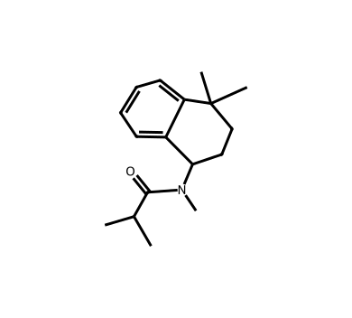 CC(C)C(=O)N(C)C1CCC(C)(C)c2ccccc21